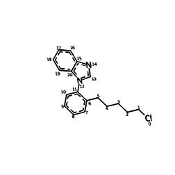 ClCCCCCc1ccccc1-n1cnc2ccccc21